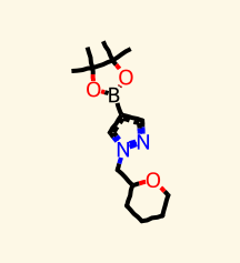 CC1(C)OB(c2cnn(CC3CCCCO3)c2)OC1(C)C